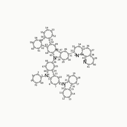 c1ccc(-n2c3ccc(-n4c5ccccc5c5ccccc54)cc3c3cc(-n4c5ccc(-c6ccc7ccc8cccnc8c7n6)cc5c5cc6c7ccccc7c7ccccc7c6cc54)ccc32)cc1